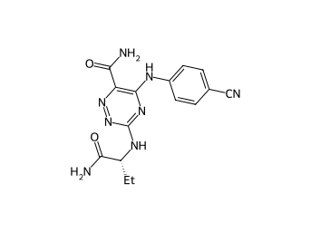 CC[C@@H](Nc1nnc(C(N)=O)c(Nc2ccc(C#N)cc2)n1)C(N)=O